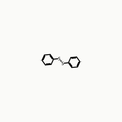 [c]1ccc(SSc2cc[c]cc2)cc1